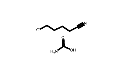 N#CCCCCCl.NC(=O)O